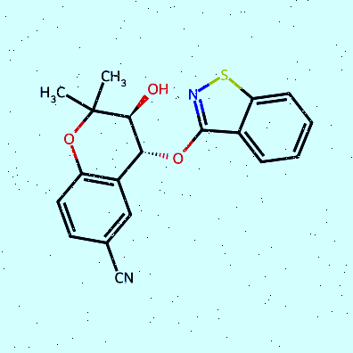 CC1(C)Oc2ccc(C#N)cc2[C@@H](Oc2nsc3ccccc23)[C@@H]1O